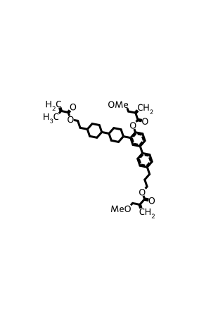 C=C(C)C(=O)OCCC1CCC(C2CCC(c3cc(-c4ccc(CCCOC(=O)C(=C)COC)cc4)ccc3OC(=O)C(=C)COC)CC2)CC1